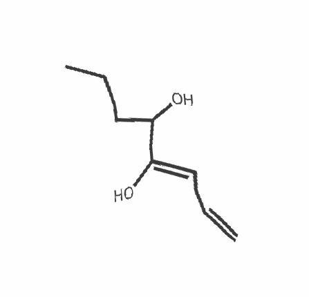 C=CC=C(O)C(O)CCC